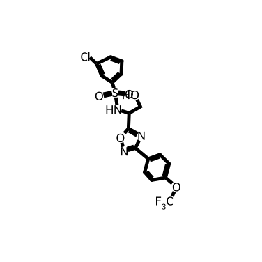 O=S(=O)(NC(CO)c1nc(-c2ccc(OC(F)(F)F)cc2)no1)c1cccc(Cl)c1